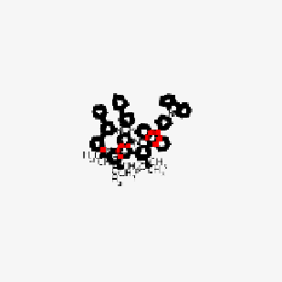 CC(C)(C)c1cc(-c2cc3c4c(c2)N(c2c(-c5ccccc5)cc(C(C)(C)C)cc2-c2ccccc2)c2cc(N(c5ccccc5)c5ccc(-n6c7ccccc7c7ccccc76)cc5)ccc2B4c2ccc(-c4ccccc4)cc2N3c2cc(-c3ccccc3)cc(-c3ccccc3)c2)cc(C(C)(C)C)c1